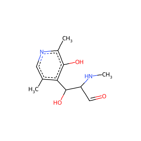 CNC(C=O)C(O)c1c(C)cnc(C)c1O